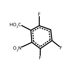 O=C(O)c1c(F)cc(F)c(F)c1[N+](=O)[O-]